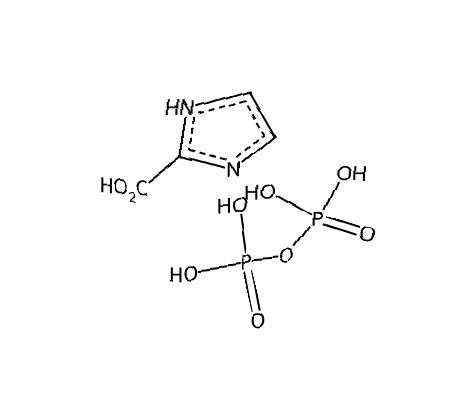 O=C(O)c1ncc[nH]1.O=P(O)(O)OP(=O)(O)O